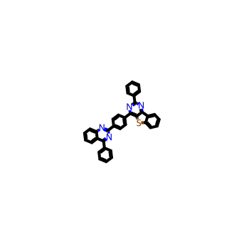 c1ccc(-c2nc(-c3ccc(-c4nc(-c5ccccc5)c5ccccc5n4)cc3)c3sc4ccccc4c3n2)cc1